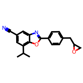 CC(C)c1cc(C#N)cc2nc(-c3ccc(CC4CO4)cc3)oc12